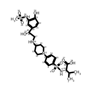 CC(C)[C@H](NS(=O)(=O)c1ccc(N2CCC(NC[C@H](O)c3ccc(O)c(NS(C)(=O)=O)c3)CC2)cc1)C(=O)O